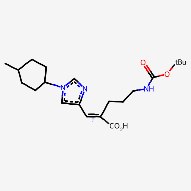 CC1CCC(n2cnc(/C=C(\CCCNC(=O)OC(C)(C)C)C(=O)O)c2)CC1